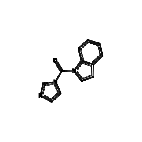 O=C(n1ccnc1)n1ccc2ccccc21